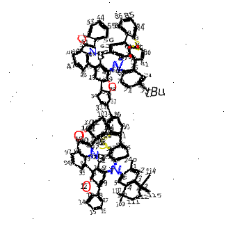 Cc1cc2c(cc1N1c3cc4c(oc5ccccc54)c4c3B(c3c1ccc1c3sc3cc(-c5ccc6c(c5)oc5c7c8c(cc56)-c5cccc6c9oc%10ccccc%10c9n(c56)B8c5cc6c(cc5N7c5ccc(C(C)(C)C)cc5-c5ccccc5)sc5ccccc56)ccc31)n1c3c-4cccc3c3oc4ccccc4c31)C(C)(C)CCC2(C)C